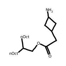 CCCCCCCCC(CCCCCCCC)COC(=O)CC1CC(N)C1